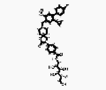 CCOc1cc(-c2ccc(F)cc2)c(C2CC2)cc1CN1CCC2(CC1)CN(c1ccc(C(=O)NC[C@H](O)[C@@H](O)[C@H](O)[C@H](O)CO)cc1)C(=O)O2